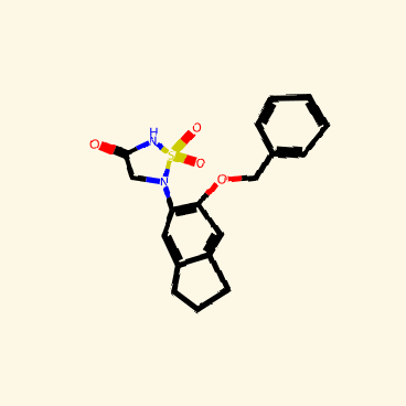 O=C1CN(c2cc3c(cc2OCc2ccccc2)CCC3)S(=O)(=O)N1